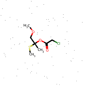 COCC(C)(OC(=O)CCl)SC